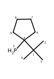 CC(C)(C)C1(P)CCCC1